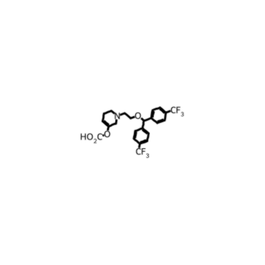 O=C(O)OC1=CCCN(CCOC(c2ccc(C(F)(F)F)cc2)c2ccc(C(F)(F)F)cc2)C1